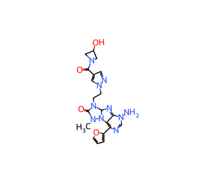 CN1C(=O)N(CCn2cc(C(=O)N3CC(O)C3)cn2)C2N=C3C(=C(c4ccco4)N=CN3N)N21